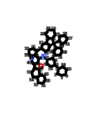 c1ccc(-c2ccc(N(c3cc4c(cc3-c3ccccc3)-c3ccccc3C4(c3ccccc3)c3ccccc3)c3cncc4c3oc3c5ccccc5ccc43)cc2)cc1